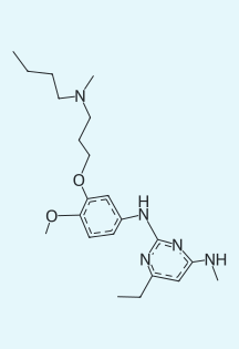 CCCCN(C)CCCOc1cc(Nc2nc(CC)cc(NC)n2)ccc1OC